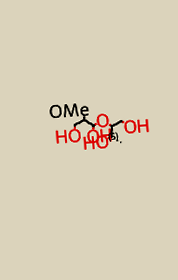 COC(CO)C(O)OC(CO)[C@H](C)O